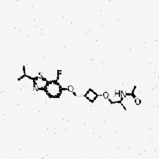 CC(=O)N[C@@H](C)CO[C@H]1C[C@H](COc2ccc3nc(C(C)C)sc3c2F)C1